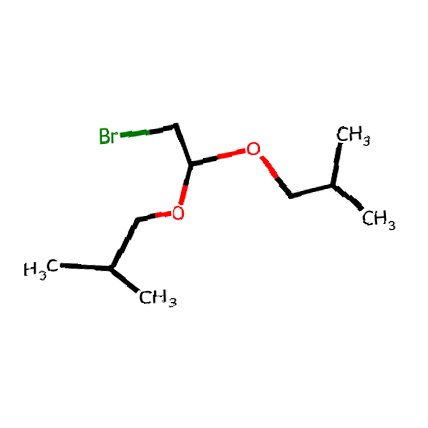 CC(C)COC(CBr)OCC(C)C